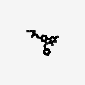 CCCCNC(=O)/C=C/c1ccc(N2CC(=O)NS2(=O)=O)c(OCc2ccccc2)c1